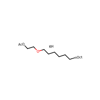 CCCCCCCCCCCCCCOCCOC(C)=O.[KH]